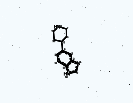 [c]1nc2cc(C3CCNCC3)ccc2[nH]1